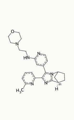 Cc1cccc(-c2nc3n(c2-c2ccnc(NCCN4CCOCC4)c2)C2CC[C@@H]3C2)n1